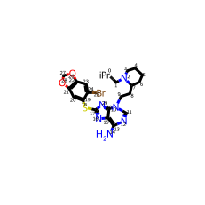 CC(C)CN1CCCCC1CCn1cnc(N)c2nc(Sc3cc4c(cc3Br)OCO4)nc1-2